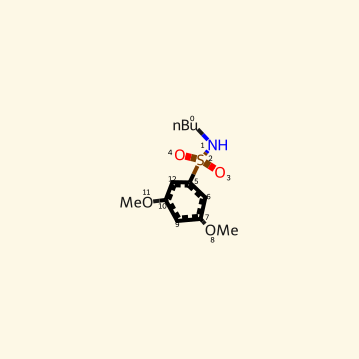 CCCCNS(=O)(=O)c1cc(OC)cc(OC)c1